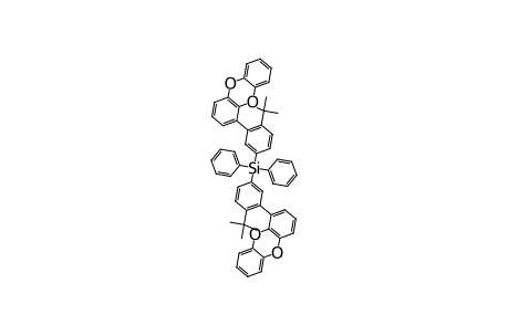 CC(C)(C)c1ccc([Si](c2ccccc2)(c2ccccc2)c2ccc(C(C)(C)C)c(-c3cccc4c3Oc3ccccc3O4)c2)cc1-c1cccc2c1Oc1ccccc1O2